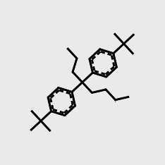 C[CH]CCC(CCC)(c1ccc(C(C)(C)C)cc1)c1ccc(C(C)(C)C)cc1